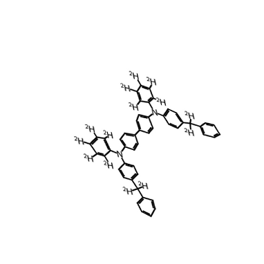 [2H]c1c([2H])c([2H])c(N(c2ccc(-c3ccc(N(c4ccc(C([2H])([2H])c5ccccc5)cc4)c4c([2H])c([2H])c([2H])c([2H])c4[2H])cc3)cc2)c2ccc(C([2H])([2H])c3ccccc3)cc2)c([2H])c1[2H]